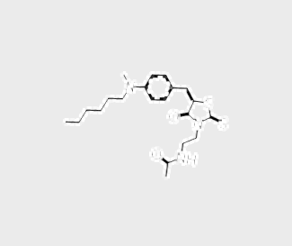 CCCCCCN(C)c1ccc(C=C2SC(=S)N(CCNC(C)=O)C2=O)cc1